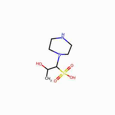 CC(O)C(N1CCNCC1)S(=O)(=O)O